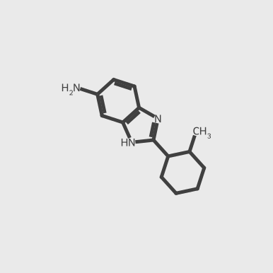 CC1CCCCC1c1nc2ccc(N)cc2[nH]1